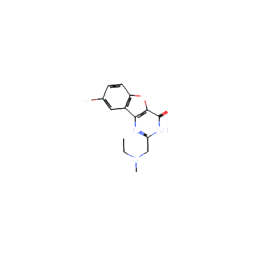 C[C@@H](C(=O)O)N(C)Cc1nc2c(oc3ccc(Br)cc32)c(=O)[nH]1